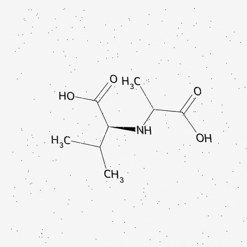 CC(N[C@H](C(=O)O)C(C)C)C(=O)O